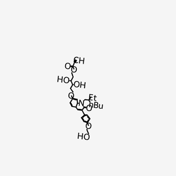 C#CC(=O)OCCC(O)C(O)CCOC1=CC2C(C=C1)C=C(c1ccc(OCCO)cc1)C(=O)N2CC(CC)CCCC